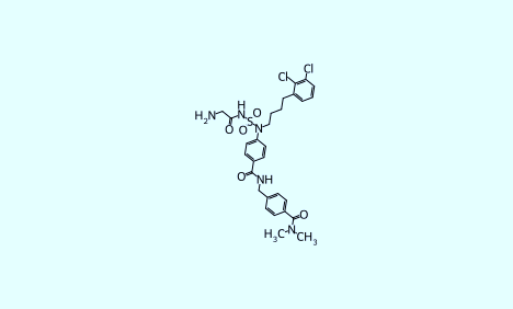 CN(C)C(=O)c1ccc(CNC(=O)c2ccc(N(CCCCc3cccc(Cl)c3Cl)S(=O)(=O)NC(=O)CN)cc2)cc1